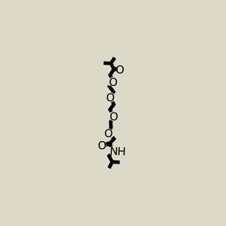 CC(C)CNC(=O)COCCOCCOCCOCC(=O)C(C)C